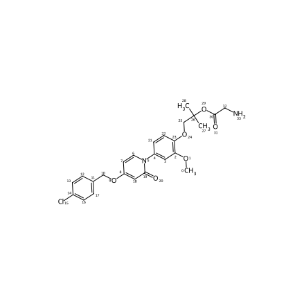 COc1cc(-n2ccc(OCc3ccc(Cl)cc3)cc2=O)ccc1OCC(C)(C)OC(=O)CN